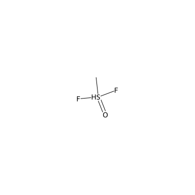 C[SH](=O)(F)F